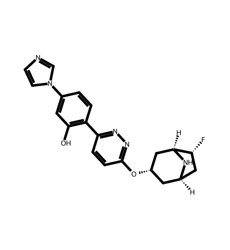 Oc1cc(-n2ccnc2)ccc1-c1ccc(O[C@H]2C[C@@H]3C[C@@H](F)[C@H](C2)N3)nn1